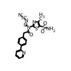 Cc1nc(N(ON=[N+]=[N-])C(=O)Cc2ccc(-c3ccccn3)cc2)sc1S(N)(=O)=O